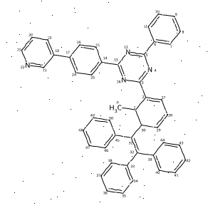 CC1C(c2nc(-c3ccccc3)nc(-c3ccc(-c4cccnc4)cc3)n2)=CC=CC1C(=C(c1ccccc1)c1ccccc1)c1ccccc1